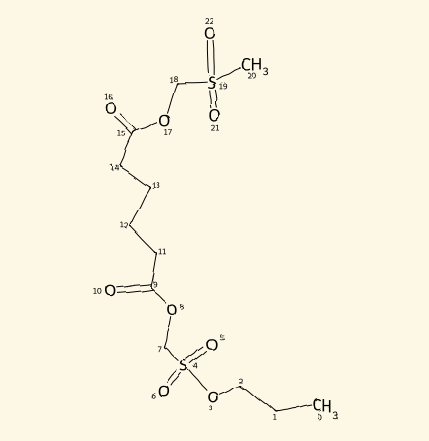 CCCOS(=O)(=O)COC(=O)CCCCC(=O)OCS(C)(=O)=O